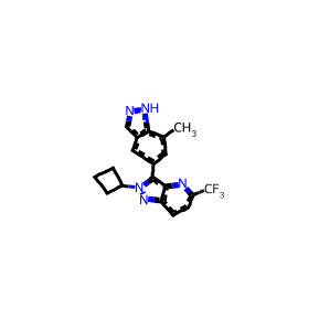 Cc1cc(-c2c3nc(C(F)(F)F)ccc3nn2C2CCC2)cc2cn[nH]c12